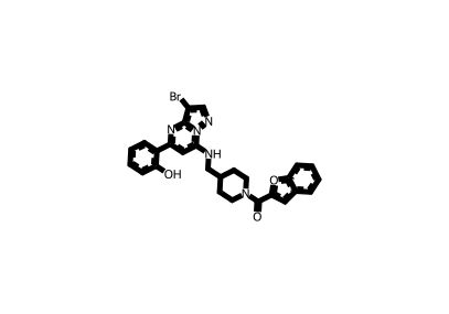 O=C(c1cc2ccccc2o1)N1CCC(CNc2cc(-c3ccccc3O)nc3c(Br)cnn23)CC1